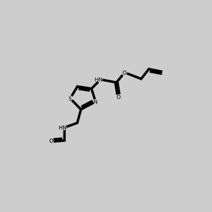 C=CCOC(=O)Nc1csc(CNC=O)n1